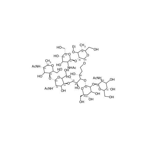 CCOC1[C@H](C)C(CO)O[C@H](OCC[C@@H](O)C(O[C@H]2O[C@H](CO)[C@@H](O)C(O)C2O[C@@H]2OC(CO)[C@@H](O)C(O)[C@@H]2NC(C)=O)[C@@H](O)[C@@H](O)O[C@@H]2C(CO)O[C@@H](O[C@@H]3C(CO)O[C@@H](C)[C@@H](NC(C)=O)C3O)[C@@H](NC(C)=O)C2O)[C@@H]1O[C@@H]1O[C@@H](CO)[C@@H](O)C(O)C1NC(C)=O